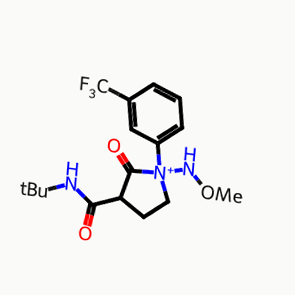 CON[N+]1(c2cccc(C(F)(F)F)c2)CCC(C(=O)NC(C)(C)C)C1=O